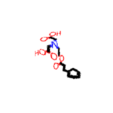 O=C(O)CN(CCOC(=O)CCc1ccccc1)CC(=O)O